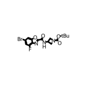 CC(C)(C)OC(=O)N1CC(NC(=O)c2nc3c(F)cc(Br)cc3o2)C1